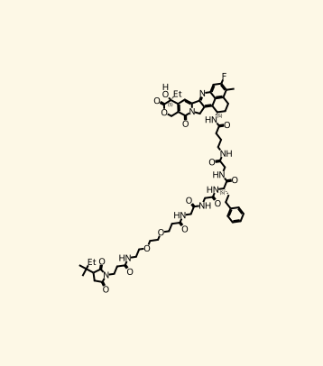 CCC(C)(C)C1CC(=O)N(CCC(=O)NCCOCCOCCC(=O)NCC(=O)NCC(=O)N[C@@H](CCc2ccccc2)C(=O)NCC(=O)NCCCC(=O)N[C@H]2CCc3c(C)c(F)cc4nc5c(c2c34)Cn2c-5cc3c(c2=O)COC(=O)[C@]3(O)CC)C1=O